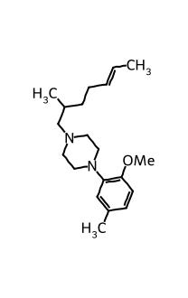 CC=CCCC(C)CN1CCN(c2cc(C)ccc2OC)CC1